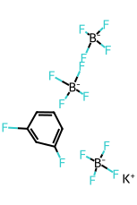 F[B-](F)(F)F.F[B-](F)(F)F.F[B-](F)(F)F.Fc1cccc(F)c1.[K+]